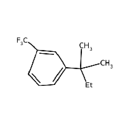 CCC(C)(C)c1cccc(C(F)(F)F)c1